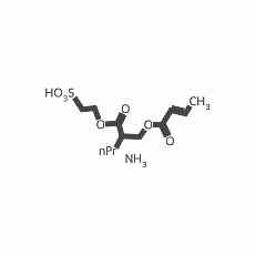 CC=CC(=O)OCC(CCC)C(=O)OCCS(=O)(=O)O.N